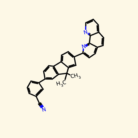 CC1(C)c2cc(-c3cccc(C#N)c3)ccc2-c2ccc(-c3ccc4ccc5cccnc5c4n3)cc21